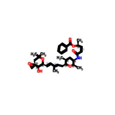 CC(/C=C/[C@H]1OC(C)(C)C[C@@]2(CO2)[C@@H]1O)=C\C[C@@H]1O[C@H](C)[C@H](NC(=O)/C=C\[C@H](C)OC(=O)c2ccccc2)C[C@@H]1C